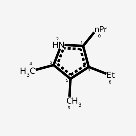 CCCc1[nH]c(C)c(C)c1CC